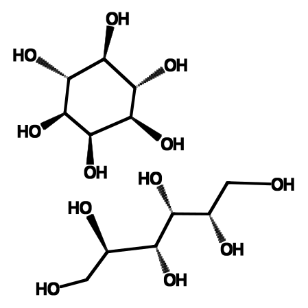 OC[C@@H](O)[C@@H](O)[C@H](O)[C@@H](O)CO.O[C@H]1[C@H](O)[C@@H](O)[C@H](O)[C@@H](O)[C@H]1O